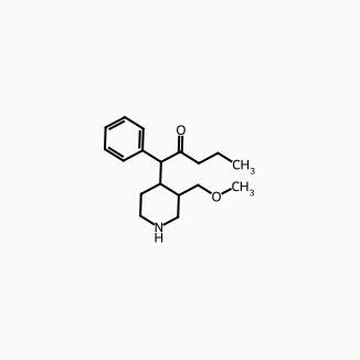 CCCC(=O)C(c1ccccc1)C1CCNCC1COC